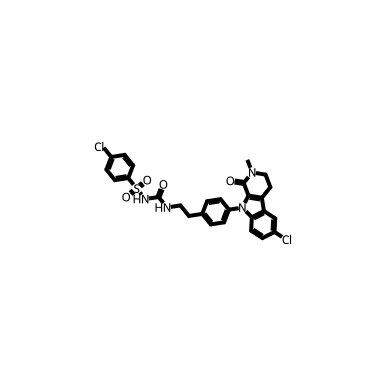 CN1CCc2c(n(-c3ccc(CCNC(=O)NS(=O)(=O)c4ccc(Cl)cc4)cc3)c3ccc(Cl)cc23)C1=O